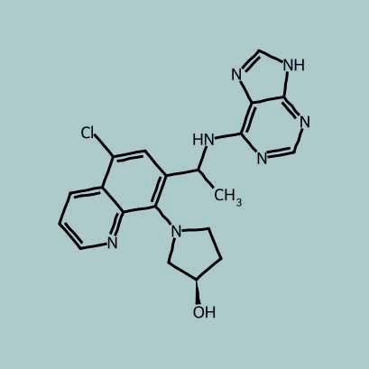 CC(Nc1ncnc2[nH]cnc12)c1cc(Cl)c2cccnc2c1N1CC[C@@H](O)C1